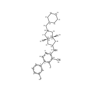 Cc1c(-c2cccc(F)c2)nnc(NC2C[C@@H]3CN(CC4CCOCC4)C[C@@H]3C2)c1C#N